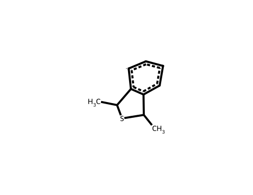 CC1SC(C)c2ccc[c]c21